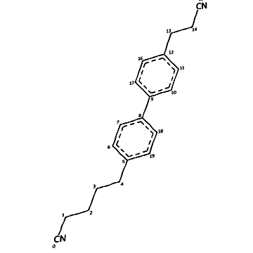 N#CCCCCc1ccc(-c2ccc(CCC#N)cc2)cc1